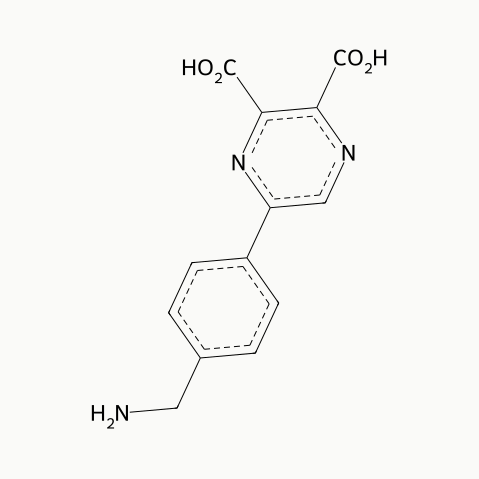 NCc1ccc(-c2cnc(C(=O)O)c(C(=O)O)n2)cc1